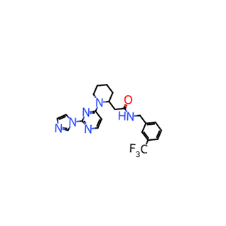 O=C(CC1CCCCN1c1ccnc(-n2ccnc2)n1)NCc1cccc(C(F)(F)F)c1